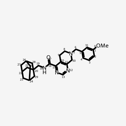 COc1cccc(CN2CCc3c(ncnc3C(=O)NCC34CC5CC(CC(C5)C3)C4)C2)c1